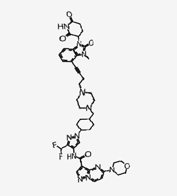 Cn1c(=O)n(C2CCC(=O)NC2=O)c2cccc(C#CCCN3CCN(CC4CCC(n5cc(NC(=O)c6cnn7ccc(N8CCOCC8)nc67)c(C(F)F)n5)CC4)CC3)c21